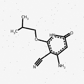 CC(C)COc1[nH]c(=O)cc(N)c1C#N